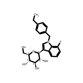 CCc1ccc(Cn2cc([C@@H]3O[C@H](CO)[C@@H](O)[C@H](O)[C@H]3O)c3cccc(F)c32)cc1